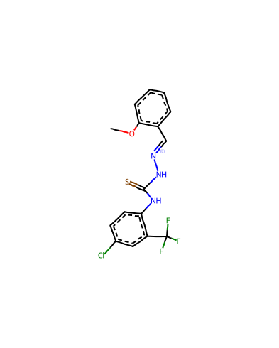 COc1ccccc1/C=N/NC(=S)Nc1ccc(Cl)cc1C(F)(F)F